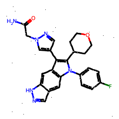 NC(=O)Cn1cc(-c2c(C3CCOCC3)n(-c3ccc(F)cc3)c3cc4cn[nH]c4cc23)cn1